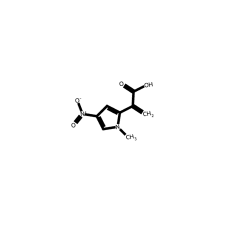 C=C(C(=O)O)c1cc([N+](=O)[O-])cn1C